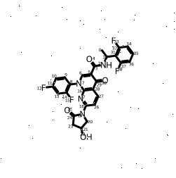 CC(NC(=O)c1cn(-c2ccc(F)cc2F)c2nc(N3CC(O)CC3=O)ccc2c1=O)c1c(F)cccc1F